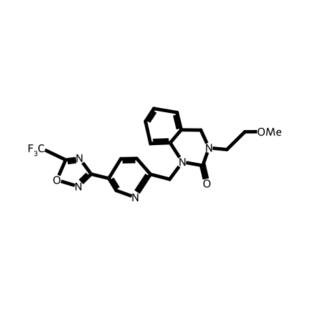 COCCN1Cc2ccccc2N(Cc2ccc(-c3noc(C(F)(F)F)n3)cn2)C1=O